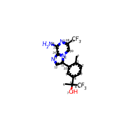 Cc1ccc(C(C)(O)C(F)(F)F)cc1-c1cnc2c(N)nc(C(F)(F)F)cn12